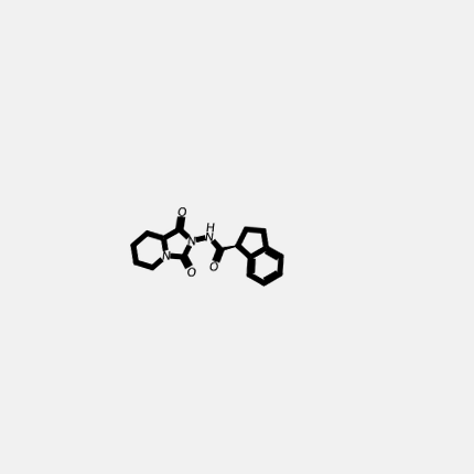 O=C(NN1C(=O)C2CCCCN2C1=O)[C@H]1CCc2ccccc21